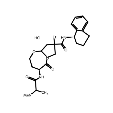 CCC1(C(=O)N[C@@H]2CCCc3ccccc32)CC2OCC[C@H](NC(=O)C(C)NC)C(=O)N2C1.Cl